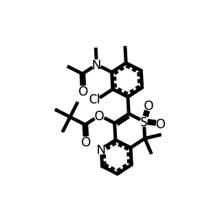 CC(=O)N(C)c1c(C)ccc(C2=C(OC(=O)C(C)(C)C)c3ncccc3C(C)(C)S2(=O)=O)c1Cl